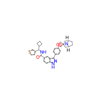 O=C(NC(c1ccsc1)C1CCC1)c1ccc2[nH]nc(-c3ccc(O[C@@H]4C[C@H]5CC[C@@H](C4)N5C4COC4)cc3)c2c1